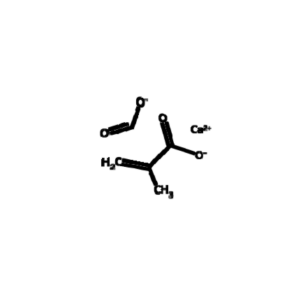 C=C(C)C(=O)[O-].O=C[O-].[Ca+2]